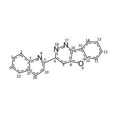 c1ccc2nc(-c3cc4oc5ccccc5c4nn3)ccc2c1